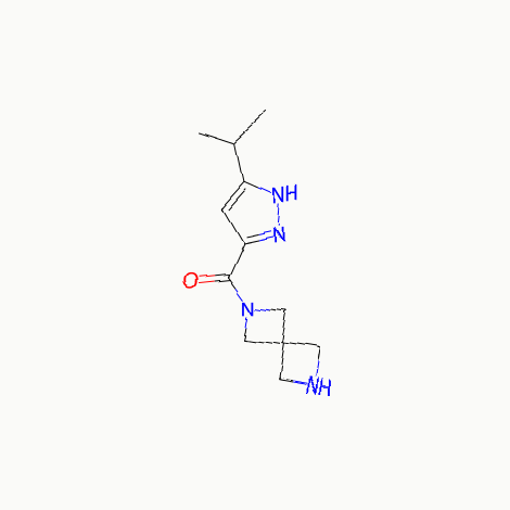 CC(C)c1cc(C(=O)N2CC3(CNC3)C2)n[nH]1